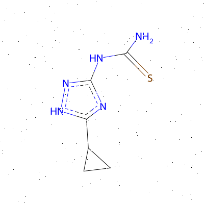 NC(=S)Nc1n[nH]c(C2CC2)n1